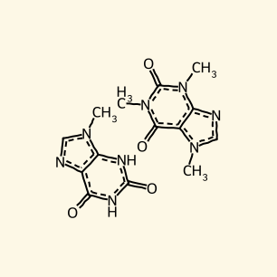 Cn1c(=O)c2c(ncn2C)n(C)c1=O.Cn1cnc2c(=O)[nH]c(=O)[nH]c21